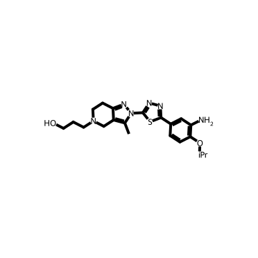 Cc1c2c(nn1-c1nnc(-c3ccc(OC(C)C)c(N)c3)s1)CCN(CCCO)C2